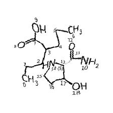 CCCC(CCC)C(=O)O.NC(=O)[C@H]1NCCC1O